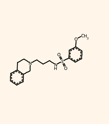 COc1cccc(S(=O)(=O)NCCCN2CCc3ccccc3C2)c1